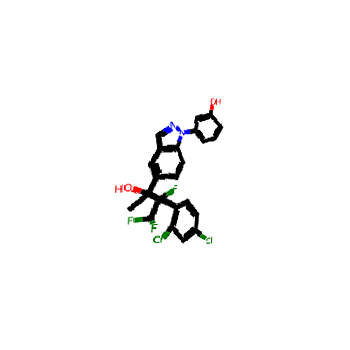 CC(O)(c1ccc2c(cnn2-c2cccc(O)c2)c1)C(F)(c1ccc(Cl)cc1Cl)C(F)F